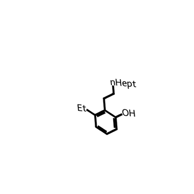 CCCCCCCCCc1c(O)cccc1CC